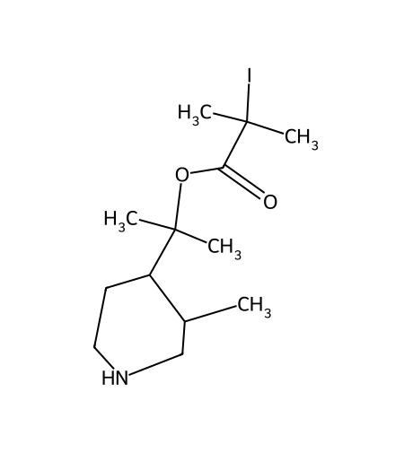 CC1CNCCC1C(C)(C)OC(=O)C(C)(C)I